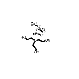 CCC[O-].CCC[O-].CCC[O-].CCC[O-].OCCN(CCO)CCO.[Zr+4]